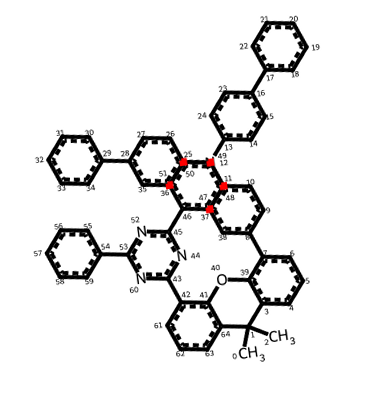 CC1(C)c2cccc(-c3ccc(N(c4ccc(-c5ccccc5)cc4)c4ccc(-c5ccccc5)cc4)cc3)c2Oc2c(-c3nc(-c4ccccc4)nc(-c4ccccc4)n3)cccc21